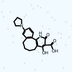 O=C(O)c1c(O)c2c([nH]c1=O)-c1ccc(N3CCCC3)cc1CCCC2